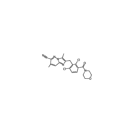 Cc1cc2nc(Cc3c(Cl)ccc(C(=O)N4CCOCC4)c3Cl)c(C)n2nc1C#N